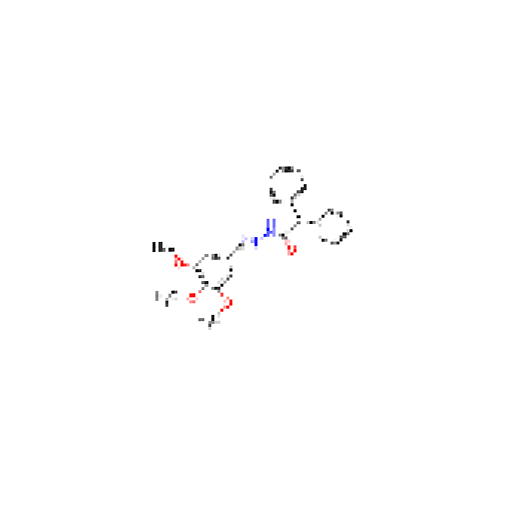 COc1cc(/C=N/NC(=O)C(c2ccccc2)c2ccccc2)cc(OC)c1OC